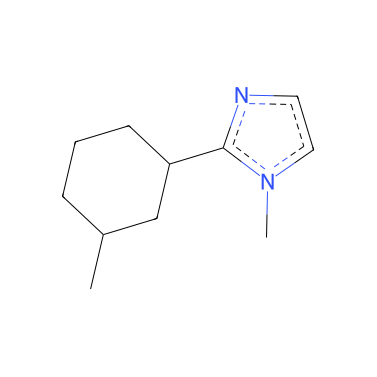 CC1CCCC(c2nccn2C)C1